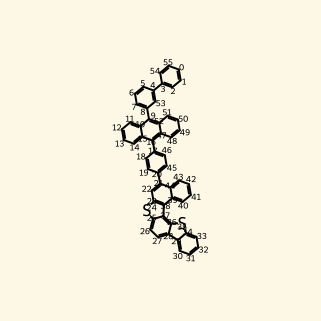 c1ccc(-c2cccc(-c3c4ccccc4c(-c4ccc(-c5cc6sc7ccc8c9ccccc9sc8c7c6c6ccccc56)cc4)c4ccccc34)c2)cc1